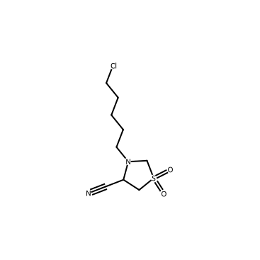 N#CC1CS(=O)(=O)CN1CCCCCCl